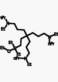 CCCN(CC)CCCC(CCCN(CC)CCC)(CCCN(CC)CCC)CC[Si](CC)(CC)OCC